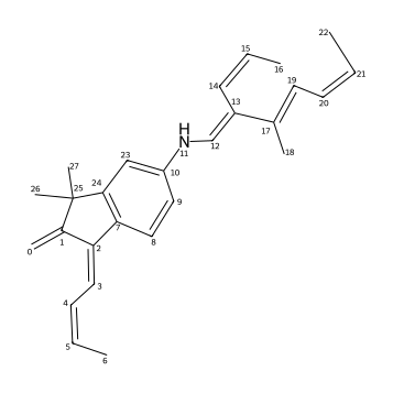 C=C1/C(=C\C=C/C)c2ccc(N/C=C(\C=C/C)C(/C)=C/C=C\C)cc2C1(C)C